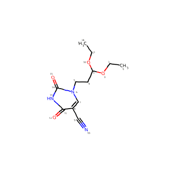 CCOC(CCn1cc(C#N)c(=O)[nH]c1=O)OCC